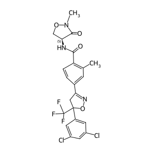 Cc1cc(C2=NOC(c3cc(Cl)cc(Cl)c3)(C(F)(F)F)C2)ccc1C(=O)N[C@H]1CON(C)C1=O